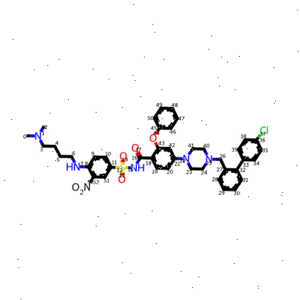 CN(C)CCCCNc1ccc(S(=O)(=O)NC(=O)c2ccc(N3CCN(Cc4ccccc4-c4ccc(Cl)cc4)CC3)cc2Oc2ccccc2)cc1[N+](=O)[O-]